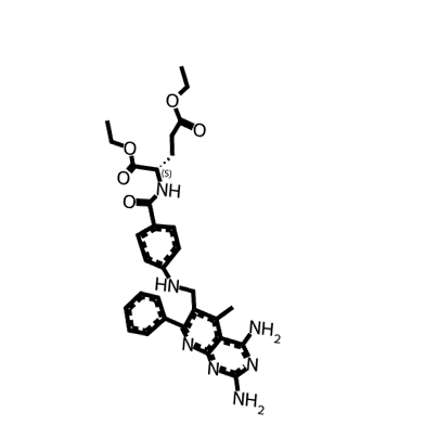 CCOC(=O)CC[C@H](NC(=O)c1ccc(NCc2c(-c3ccccc3)nc3nc(N)nc(N)c3c2C)cc1)C(=O)OCC